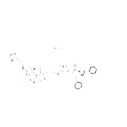 CC(=O)N(CC[C@H](N)C(=O)NCCN(C(=O)[C@H](C)NC(=O)[C@@H](NC(=O)CCCCCN1C(=O)C=CC1=O)C(C)C)[C@@H](CCC(N)=O)C(=O)O)[C@@H](c1nc(-c2cc(F)ccc2F)cn1Cc1ccccc1)C(C)(C)C.O=C(O)C(F)(F)F